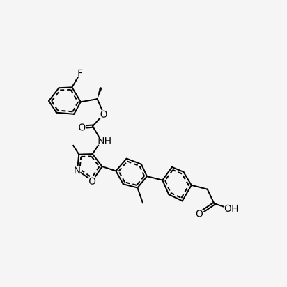 Cc1cc(-c2onc(C)c2NC(=O)O[C@H](C)c2ccccc2F)ccc1-c1ccc(CC(=O)O)cc1